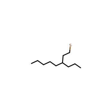 CCCCCC(CCC)CC[S]